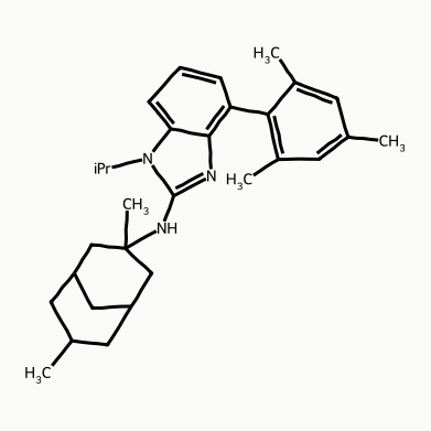 Cc1cc(C)c(-c2cccc3c2nc(NC2(C)CC4CC(C)CC(C4)C2)n3C(C)C)c(C)c1